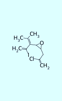 C=C(Cl)CC1OC1C(C(=C)I)=C(C)C